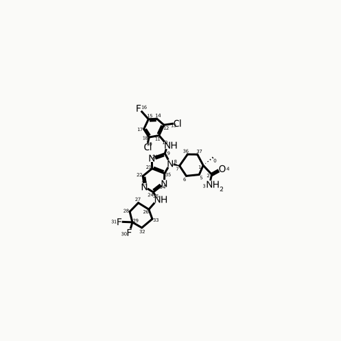 C[C@]1(C(N)=O)CC[C@@H](n2c(Nc3c(Cl)cc(F)cc3Cl)nc3cnc(NC4CCC(F)(F)CC4)nc32)CC1